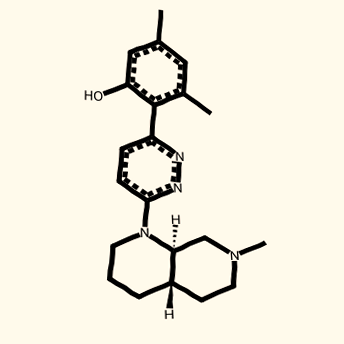 Cc1cc(C)c(-c2ccc(N3CCC[C@H]4CCN(C)C[C@@H]43)nn2)c(O)c1